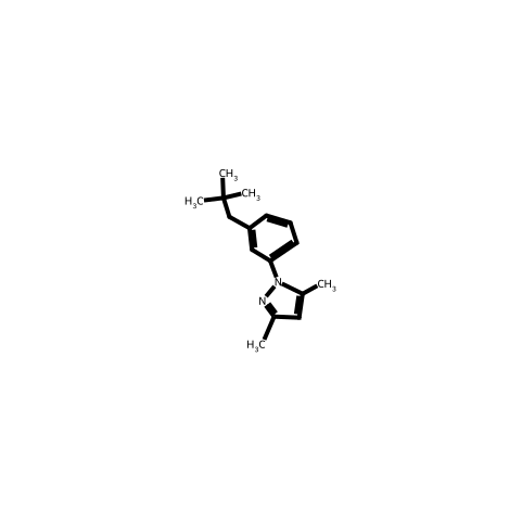 Cc1cc(C)n(-c2cccc(CC(C)(C)C)c2)n1